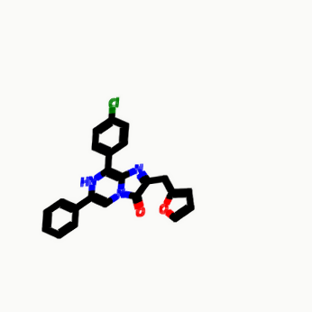 O=c1c(Cc2ccco2)nc2c(-c3ccc(Cl)cc3)[nH]c(-c3ccccc3)cn1-2